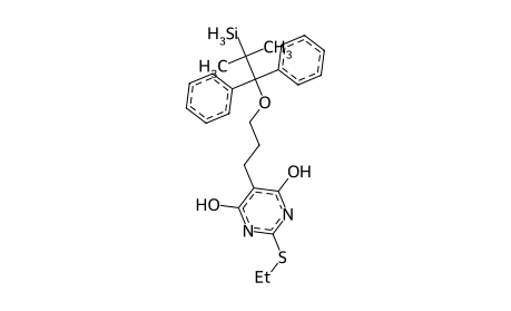 CCSc1nc(O)c(CCCOC(c2ccccc2)(c2ccccc2)C(C)(C)[SiH3])c(O)n1